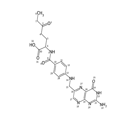 CCC(=O)CCC(NC(=O)c1ccc(NCc2cnc3nc(N)[nH]c(=O)c3n2)cc1)C(=O)O